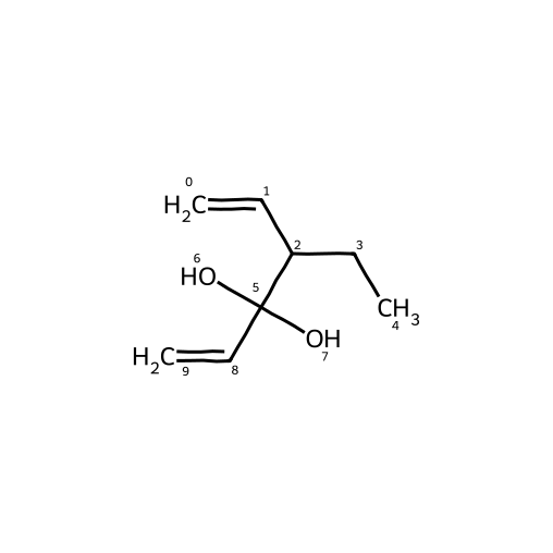 C=CC(CC)C(O)(O)C=C